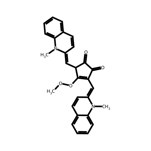 COOC1=C(/C=C2\C=Cc3ccccc3N2C)C(=O)C(=O)C1/C=C1\C=Cc2ccccc2N1C